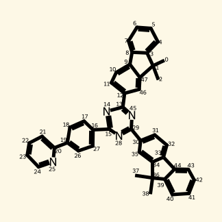 CC1(C)c2ccccc2-c2ccc(-c3nc(-c4ccc(-c5ccccn5)cc4)nc(-c4ccc5c(c4)C(C)(C)c4ccccc4-5)n3)cc21